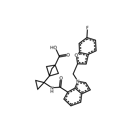 O=C(NC1(C23CC(C(=O)O)(C2)C3)CC1)c1cccc2ccn(Cc3cc4ccc(F)cc4o3)c12